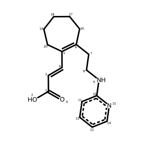 O=C(O)/C=C/C1=C(CCNc2ccccn2)CCCCC1